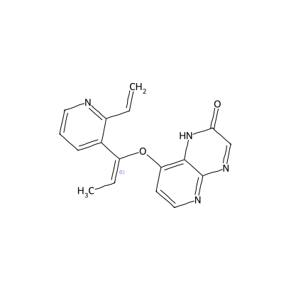 C=Cc1ncccc1/C(=C\C)Oc1ccnc2ncc(=O)[nH]c12